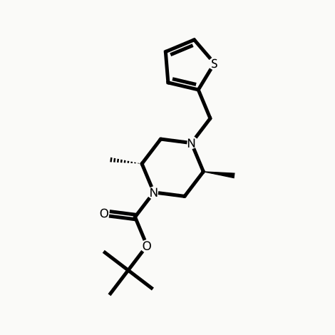 C[C@@H]1CN(Cc2cccs2)[C@@H](C)CN1C(=O)OC(C)(C)C